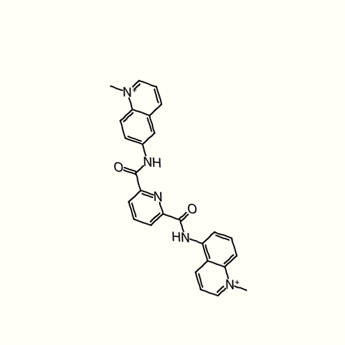 C[n+]1cccc2cc(NC(=O)c3cccc(C(=O)Nc4cccc5c4ccc[n+]5C)n3)ccc21